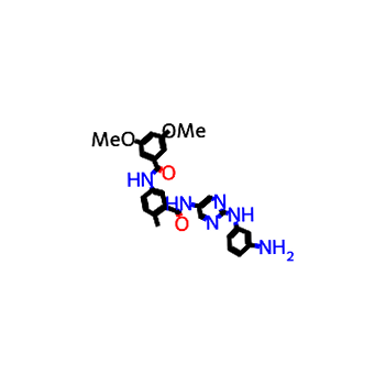 COc1cc(OC)cc(C(=O)Nc2ccc(C)c(C(=O)Nc3cnc(Nc4cccc(N)c4)nc3)c2)c1